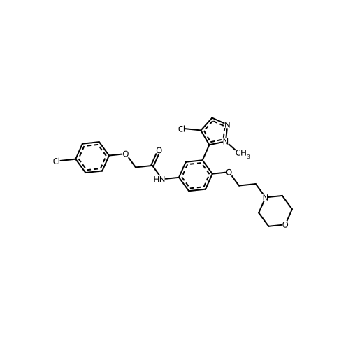 Cn1ncc(Cl)c1-c1cc(NC(=O)COc2ccc(Cl)cc2)ccc1OCCN1CCOCC1